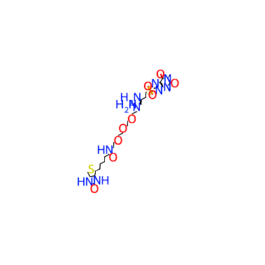 Cn1c(=O)c2c(nc(S(=O)(=O)CC/C(N)=C/N(N)CCOCCOCCOCCNC(=O)CCCC[C@@H]3SCC4NC(=O)NC43)n2C)n(C)c1=O